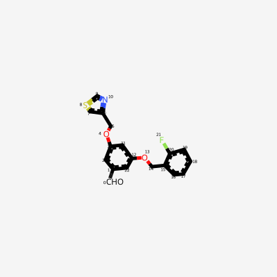 O=Cc1cc(OCc2cscn2)cc(OCc2ccccc2F)c1